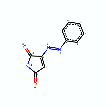 O=C1C=C(N=Nc2ccccc2)C(=O)N1